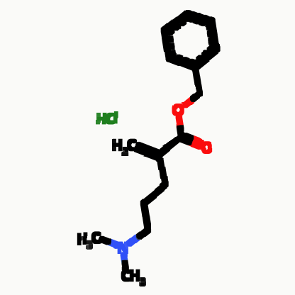 C=C(CCCN(C)C)C(=O)OCc1ccccc1.Cl